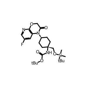 CC(C)(C)OC(=O)N[C@]1(CO[Si](C)(C)C(C)(C)C)CC[C@@H](N2C(=O)COc3ncc(F)cc32)CC1